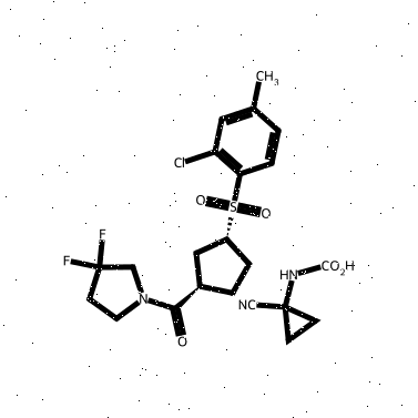 Cc1ccc(S(=O)(=O)[C@@H]2CC[C@@H](C(=O)N3CCC(F)(F)C3)C2)c(Cl)c1.N#CC1(NC(=O)O)CC1